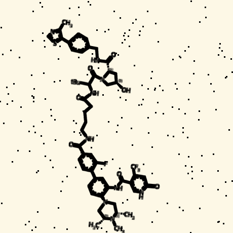 Cc1ncsc1-c1ccc(CNC(=O)[C@@H]2C[C@@H](O)CN2C(=O)C(NC(=O)CCCCNC(=O)c2ccc(-c3ccc(N4C[C@@H](C)N(C)[C@@H](C)C4)c(NC(=O)c4c[nH]c(=O)cc4C(F)(F)F)c3)c(F)c2)C(C)(C)C)cc1